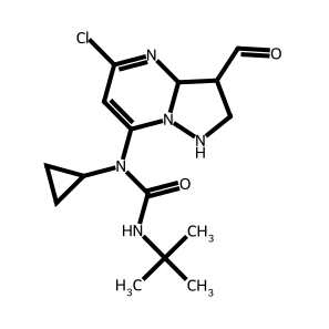 CC(C)(C)NC(=O)N(C1=CC(Cl)=NC2C(C=O)CNN12)C1CC1